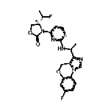 CC(Nc1nccc(N2C(=O)OC[C@@H]2C(C)F)n1)c1ncn2c1COc1cc(F)ccc1-2